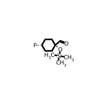 C[Si](C)(C)O[C@]1(C=O)CC[C@H](F)CC1